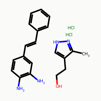 Cc1n[nH]cc1CCO.Cl.Cl.Nc1ccc(C=Cc2ccccc2)cc1N